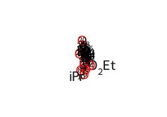 CCOC(=O)O[C@]1(C(=O)COC(=O)OC(C)C)CC[C@H]2[C@@H]3CCC4=CC(=O)C=C[C@]4(C)[C@H]3C(=O)C[C@@]21C